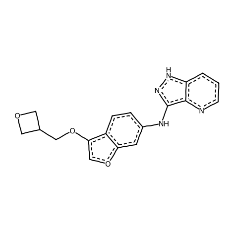 c1cnc2c(Nc3ccc4c(OCC5COC5)coc4c3)n[nH]c2c1